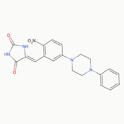 O=C1NC(=O)C(=Cc2cc(N3CCN(c4ccccc4)CC3)ccc2[N+](=O)[O-])N1